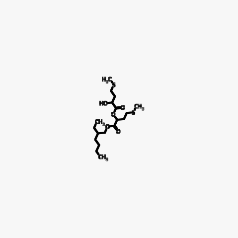 CCCCC(CC)COC(=O)C(CCSC)OC(=O)C(O)CCSC